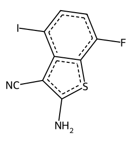 N#Cc1c(N)sc2c(F)ccc(I)c12